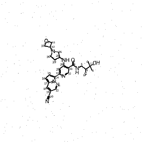 CC(C)(O)C(F)CNC(=O)c1cnc(-c2ccc3cc(C#N)cnn23)cc1NC1CCN(C2COC2)C1